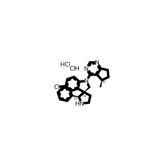 C[C@@H]1CCc2ncnc(N3C[C@]4(CCN[C@H]4c4ccccc4)c4cc(Cl)ccc43)c21.Cl.Cl